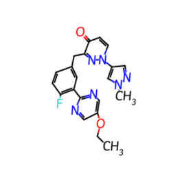 CCOc1cnc(-c2cc(Cc3nn(-c4cnn(C)c4)ccc3=O)ccc2F)nc1